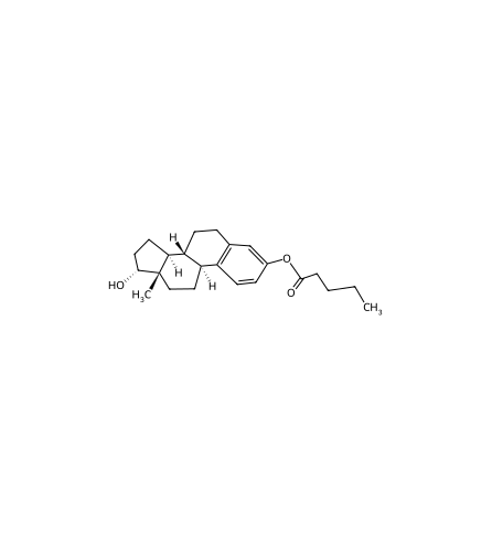 CCCCC(=O)Oc1ccc2c(c1)CC[C@@H]1[C@@H]2CC[C@]2(C)[C@H](O)CC[C@@H]12